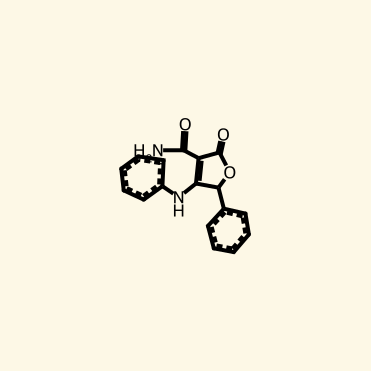 NC(=O)C1=C(Nc2ccccc2)C(c2ccccc2)OC1=O